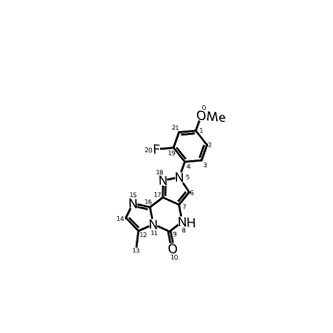 COc1ccc(-n2cc3[nH]c(=O)n4c(C)cnc4c3n2)c(F)c1